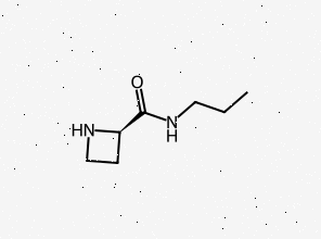 CCCNC(=O)[C@H]1CCN1